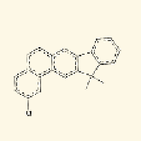 CC1(C)c2ccccc2-c2cc3ccc4ccc(Cl)cc4c3cc21